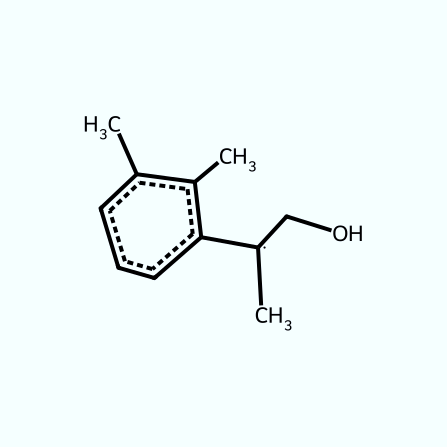 C[C](CO)c1cccc(C)c1C